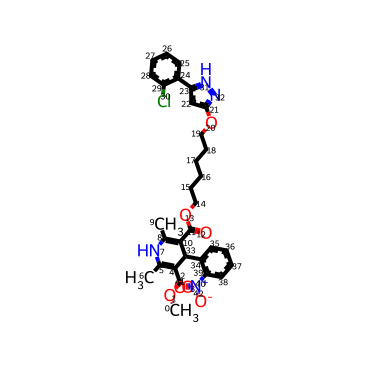 COC(=O)C1=C(C)NC(C)=C(C(=O)OCCCCCCOc2cc(-c3ccccc3Cl)[nH]n2)C1c1ccccc1[N+](=O)[O-]